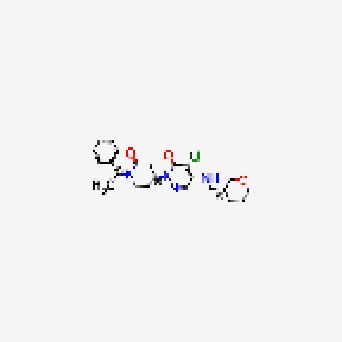 C[C@@H](c1ccccc1)N1CC[C@H](n2ncc(NC[C@@H]3CCCOC3)c(Cl)c2=O)CC1=O